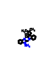 C=C1N(Cc2nc3ccccc3n2N)c2ccccc2C1(CCC)CCC